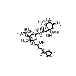 C=C1C[C@](OC)([C@H](O)C(=O)N[C@@H](O)[C@@H]2CC(O[Si](C)(C)C)C(C)(C)[C@@H](C[C@H](O)COC(=O)n3ccnc3)O2)O[C@H](C)[C@@H]1C